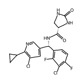 O=C1NC[C@@H](C(=O)N[C@@H](c2cnc(C3CC3)c(Cl)c2)c2ccc(F)c(Cl)c2F)N1